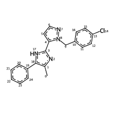 Cc1nc(-c2ccnn2Cc2ccc(Cl)cc2)[nH]c1-c1ccccc1